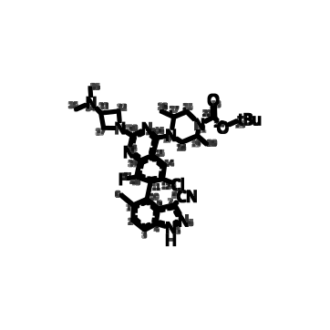 Cc1ccc2[nH]nc(C#N)c2c1-c1c(Cl)cc2c(N3CC(C)N(C(=O)OC(C)(C)C)CC3C)nc(N3CC(N(C)C)C3)nc2c1F